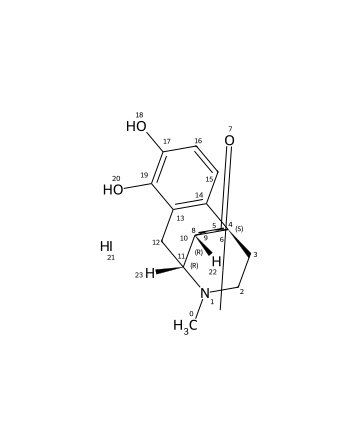 CN1CC[C@]23CC(=O)CC[C@H]2[C@H]1Cc1c3ccc(O)c1O.I